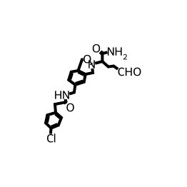 NC(=O)C(CCC=O)N1Cc2cc(CNC(=O)Cc3ccc(Cl)cc3)ccc2CO1